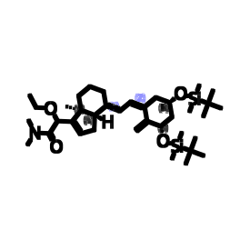 C=C1/C(=C\C=C2/CCC[C@]3(C)C(C(OCC)C(=O)N(C)C)=CC[C@@H]23)C[C@@H](O[Si](C)(C)C(C)(C)C)C[C@@H]1O[Si](C)(C)C(C)(C)C